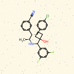 C[C@H](NC(c1cc(F)cc(F)c1)C1(O)CCC1)[C@@H](Cc1ccc(Cl)cc1)c1cccc(C#N)c1